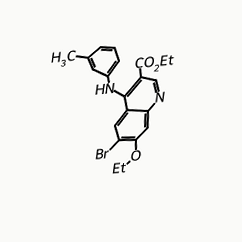 CCOC(=O)c1cnc2cc(OCC)c(Br)cc2c1Nc1cccc(C)c1